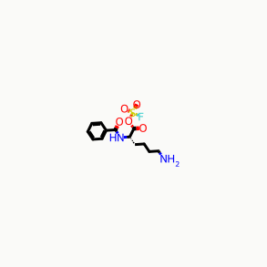 NCCCC[C@H](NC(=O)c1ccccc1)C(=O)OS(=O)(=O)F